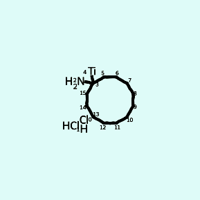 Cl.Cl.N[C]1([Ti])CCCCCCCCCCC1